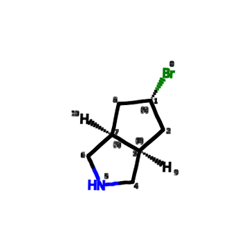 Br[C@@H]1C[C@H]2CNC[C@H]2C1